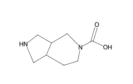 O=C(O)N1CCC2CNCC2C1